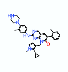 Cc1ccccc1-c1cc2cnc(Nc3ccc(N4CCNCC4)c(C)c3)nc2n(Cc2ccn(C)c2C2CC2)c1=O